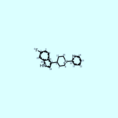 Fc1ccc2c(C3CCN(c4ccccn4)CC3)c[nH]c2c1